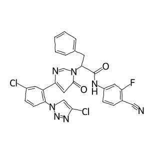 N#Cc1ccc(NC(=O)C(Cc2ccccc2)n2cnc(-c3cc(Cl)ccc3-n3cc(Cl)nn3)cc2=O)cc1F